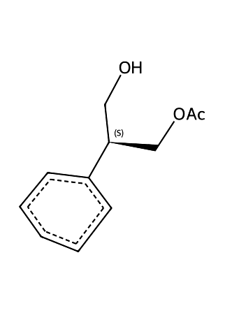 CC(=O)OC[C@H](CO)c1ccccc1